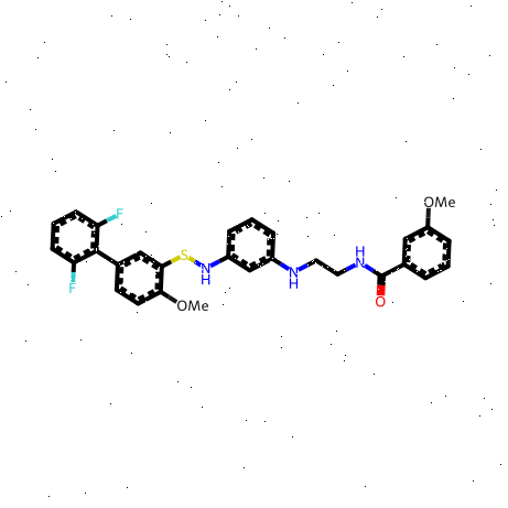 COc1cccc(C(=O)NCCNc2cccc(NSc3cc(-c4c(F)cccc4F)ccc3OC)c2)c1